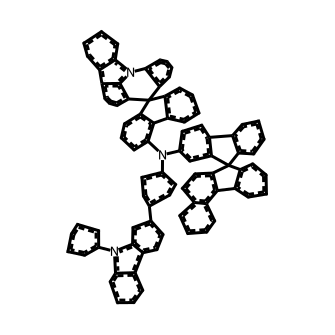 c1ccc(-n2c3ccccc3c3ccc(-c4ccc(N(c5ccc6c(c5)C5(c7ccccc7-6)c6ccccc6-c6c5ccc5ccccc65)c5cccc6c5-c5ccccc5C65c6ccccc6-n6c7ccccc7c7cccc5c76)cc4)cc32)cc1